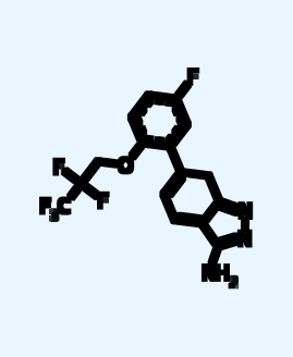 NC1=NN=C2CC(c3cc(F)ccc3OCC(F)(F)C(F)(F)F)=CC=C12